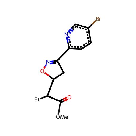 CCC(C(=O)OC)C1CC(c2ccc(Br)cn2)=NO1